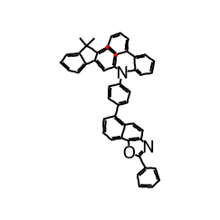 CC1(C)c2ccccc2-c2cc(N(c3ccc(-c4cccc5c4ccc4nc(-c6ccccc6)oc45)cc3)c3ccccc3-c3ccccc3)ccc21